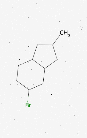 CC1CC2CCC(Br)CC2C1